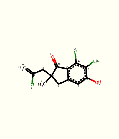 C=C(Cl)CC1(C)Cc2cc(O)c(Cl)c(Cl)c2C1=O